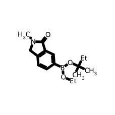 CCOB(OC(C)(C)CC)c1ccc2c(c1)C(=O)N(C)C2